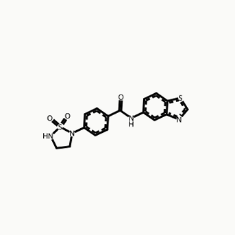 O=C(Nc1ccc2scnc2c1)c1ccc(N2CCNS2(=O)=O)cc1